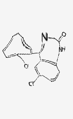 O=c1nc(-c2ccccc2Cl)c2cc(Cl)ccc2[nH]1